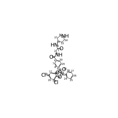 O=C(CNC(=O)c1ccc(S(=O)(=O)N(Oc2ccc(Cl)cc2Cl)c2ccccc2)cc1)NC1CCNCC1